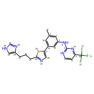 Cc1cc(Nc2nccc(C(F)(F)F)n2)cc(-c2cnc(CCCc3c[nH]cn3)s2)c1